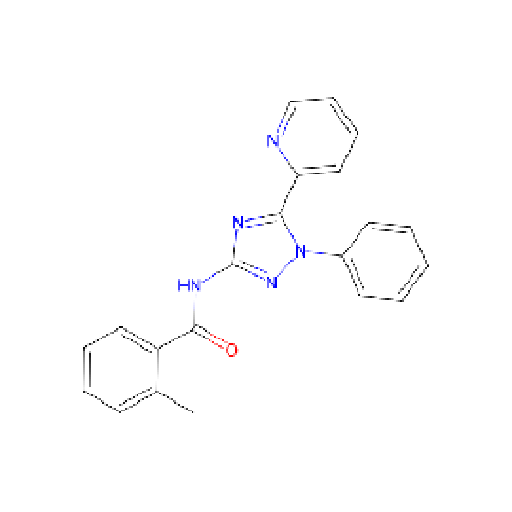 Cc1ccccc1C(=O)Nc1nc(-c2ccccn2)n(-c2ccccc2)n1